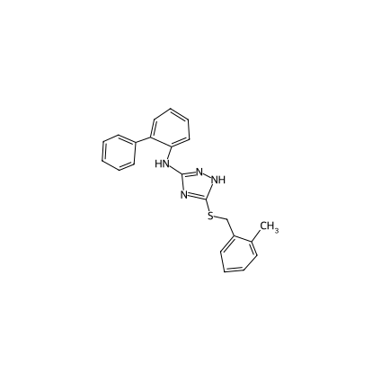 Cc1ccccc1CSc1nc(Nc2ccccc2-c2ccccc2)n[nH]1